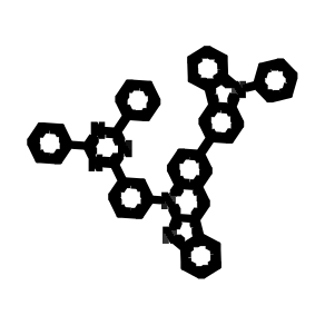 c1ccc(-c2nc(-c3ccccc3)nc(-c3cccc(-n4c5nc6ccccc6c-5cc5cc(-c6ccc7c(c6)c6ccccc6n7-c6ccccc6)ccc54)c3)n2)cc1